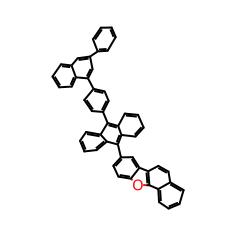 c1ccc(-c2cc(-c3ccc(-c4c5ccccc5c(-c5ccc6oc7c8ccccc8ccc7c6c5)c5ccccc45)cc3)c3ccccc3c2)cc1